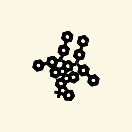 CC1(C)c2ccccc2-c2c1ccc1c2-c2ccccc2C12c1ccccc1-c1c(N(c3ccc(-c4ccccc4)cc3)c3ccc(-c4ccccc4)cc3)cc(N(c3ccc(-c4ccccc4)cc3)c3ccc(-c4ccccc4)cc3)cc12